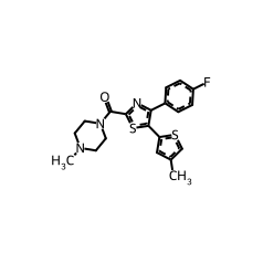 Cc1csc(-c2sc(C(=O)N3CCN(C)CC3)nc2-c2ccc(F)cc2)c1